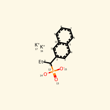 CCC(c1ccc2ccccc2c1)P(=O)([O-])[O-].[K+].[K+]